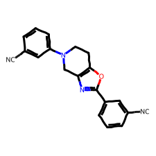 [C-]#[N+]c1cccc(-c2nc3c(o2)CCN(c2cccc(C#N)c2)C3)c1